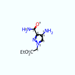 CCOC(=O)Cn1cc(N)c(C(N)=O)n1